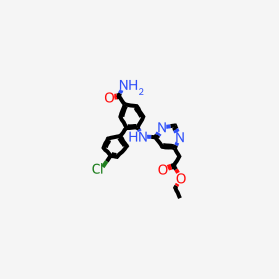 CCOC(=O)Cc1cc(Nc2ccc(C(N)=O)cc2-c2ccc(Cl)cc2)ncn1